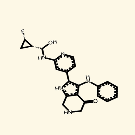 O=C1CNCc2[nH]c(-c3ccnc(NC(O)[C@@H]4C[C@@H]4F)c3)c(Nc3ccccc3)c21